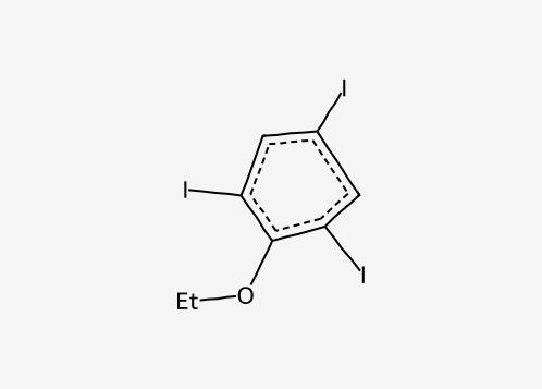 CCOc1c(I)cc(I)cc1I